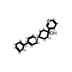 OC1(c2cccnc2)CCC(N2C=CC(C3=CCC=CC3)=CC2)CC1